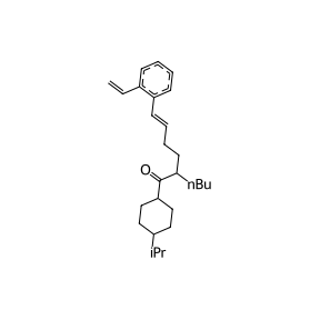 C=Cc1ccccc1/C=C/CCC(CCCC)C(=O)C1CCC(C(C)C)CC1